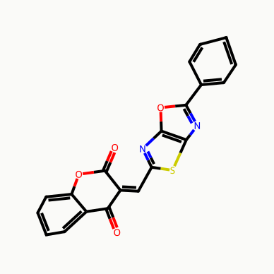 O=C1Oc2ccccc2C(=O)/C1=C/c1nc2oc(-c3ccccc3)nc2s1